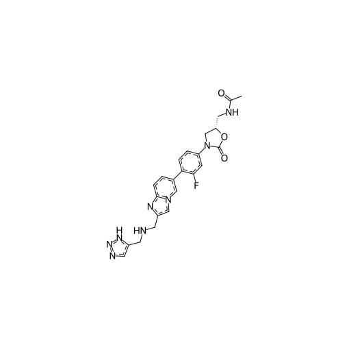 CC(=O)NC[C@H]1CN(c2ccc(-c3ccc4nc(CNCc5cnn[nH]5)cn4c3)c(F)c2)C(=O)O1